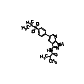 CC(C)C(=O)Nc1n[nH]c2ncc(-c3ccc(S(=O)(=O)C(C)C)cc3)cc12